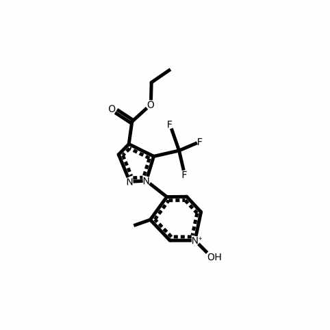 CCOC(=O)c1cnn(-c2cc[n+](O)cc2C)c1C(F)(F)F